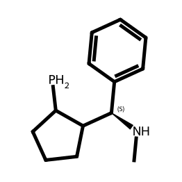 CN[C@H](c1ccccc1)C1CCCC1P